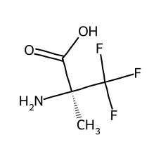 C[C@](N)(C(=O)O)C(F)(F)F